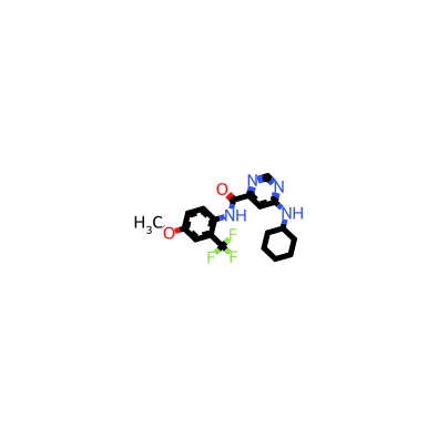 COc1ccc(NC(=O)c2cc(NC3CCCCC3)ncn2)c(C(F)(F)F)c1